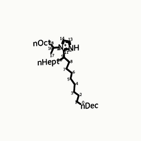 CCCCCCCCCCCCCCCCCCC(CCCCCCC)c1[nH]cc[n+]1C(C)CCCCCCCC